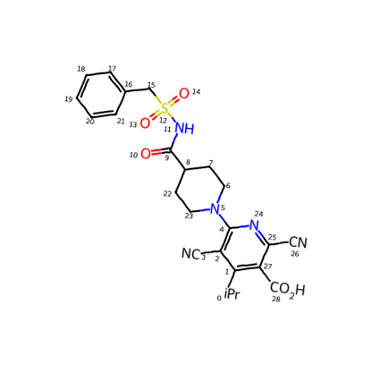 CC(C)c1c(C#N)c(N2CCC(C(=O)NS(=O)(=O)Cc3ccccc3)CC2)nc(C#N)c1C(=O)O